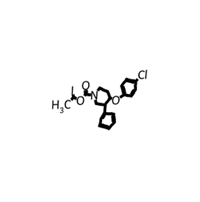 CC(I)OC(=O)N1CCC(Oc2ccc(Cl)cc2)C(c2ccccc2)C1